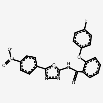 O=C(Nc1nnc(-c2ccc([N+](=O)[O-])cc2)o1)c1ccccc1Oc1ccc(F)cc1